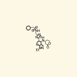 CCn1ncc2c(NC3CCOC(=O)C3)c(-c3nc(CNS(=O)(=O)Cc4ccccc4)no3)cnc21